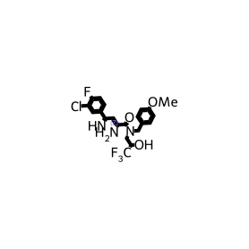 COc1ccc(CN(CC(O)C(F)(F)F)C(=O)/C(N)=C/C(=N)c2ccc(F)c(Cl)c2)cc1